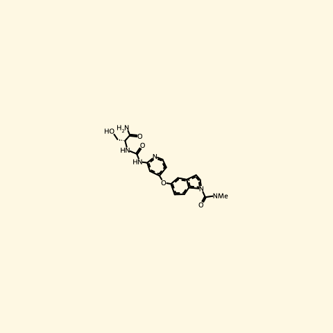 CNC(=O)n1ccc2cc(Oc3ccnc(NC(=O)N[C@H](CO)C(N)=O)c3)ccc21